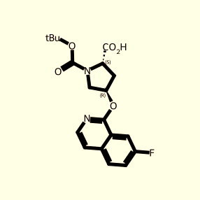 CC(C)(C)OC(=O)N1C[C@H](Oc2nccc3ccc(F)cc23)C[C@H]1C(=O)O